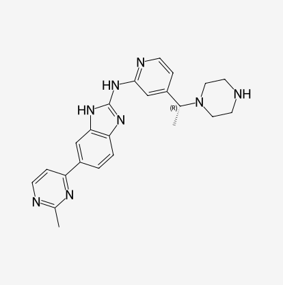 Cc1nccc(-c2ccc3nc(Nc4cc([C@@H](C)N5CCNCC5)ccn4)[nH]c3c2)n1